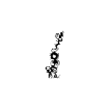 C=CC(=O)OCCCCOc1ccc(C(=O)O[C@H]2COC3C2OC[C@H]3OC(C)=O)cc1